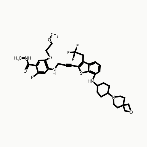 CNC(=O)c1cc(OCCOC)c(NCC#Cc2sc3c(NC4CCC(N5CCC6(CC5)COC6)CC4)cccc3c2CC(F)(F)F)cc1F